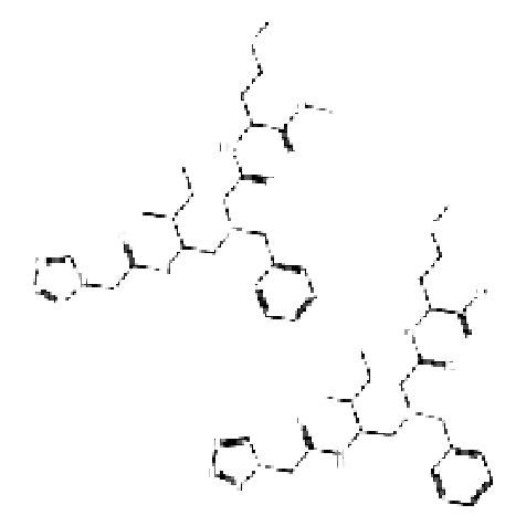 CCC(C)C(CN(CC(=O)NC(CCSC)C(=O)O)Cc1ccccc1)NC(=O)Cn1cnnn1.CCC(C)C(CN(CC(=O)NC(CCSC)C(=O)OC)Cc1ccccc1)NC(=O)Cn1cnnn1